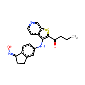 CCCC(=O)c1sc2cnccc2c1Nc1ccc2c(c1)CC/C2=N/O